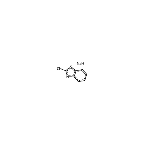 Clc1nc2ccccc2s1.[NaH]